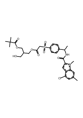 Cc1cc(Cl)c2cc(C(=O)NC(C)c3ccc(S(=O)(=O)CC(=O)OCC(CO)COC(=O)C(C)(C)C)cc3)n(C)c2c1